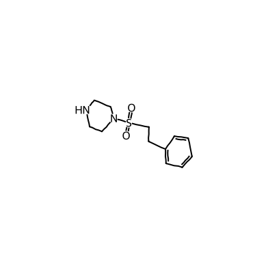 O=S(=O)(CCc1ccccc1)N1CCNCC1